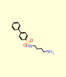 NCCCCNS(=O)(=O)c1ccc(-c2ccccc2)cc1